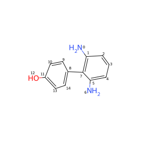 Nc1cccc(N)c1-c1ccc(O)cc1